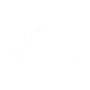 CCCCCCCCCCCCCCCCSCC(COP(=O)(O)OCC[N+](C)(C)C)SC